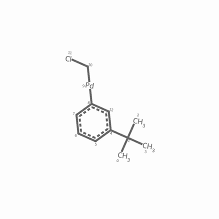 CC(C)(C)c1ccc[c]([Pd][CH2]Cl)c1